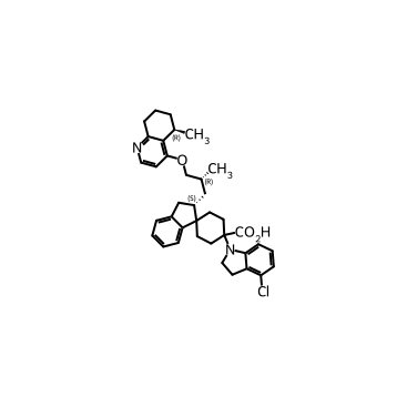 C[C@@H](COc1ccnc2c1[C@H](C)CCC2)C[C@H]1Cc2ccccc2C12CCC(C(=O)O)(N1CCc3c(Cl)cccc31)CC2